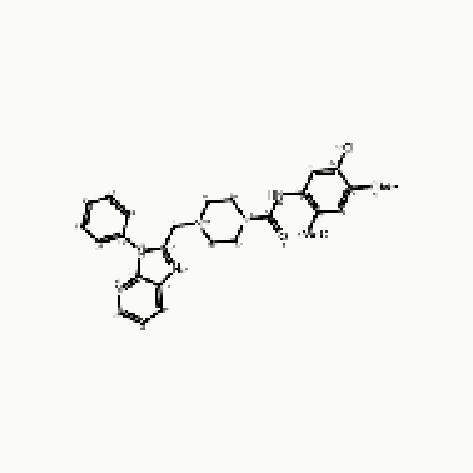 COc1cc(OC)c(NC(=O)N2CCN(Cc3nc4cccnc4n3-c3ccccc3)CC2)cc1Cl